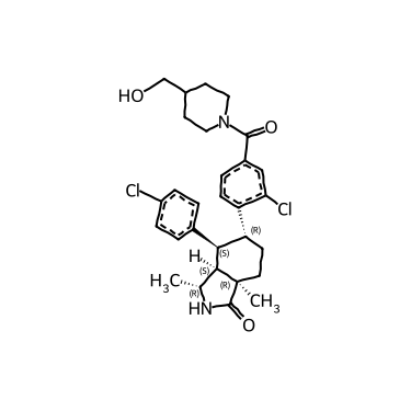 C[C@H]1NC(=O)[C@]2(C)CC[C@@H](c3ccc(C(=O)N4CCC(CO)CC4)cc3Cl)[C@H](c3ccc(Cl)cc3)[C@H]12